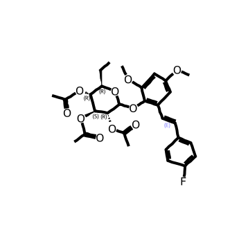 CC[C@H]1OC(Oc2c(/C=C/c3ccc(F)cc3)cc(OC)cc2OC)[C@H](OC(C)=O)[C@@H](OC(C)=O)[C@@H]1OC(C)=O